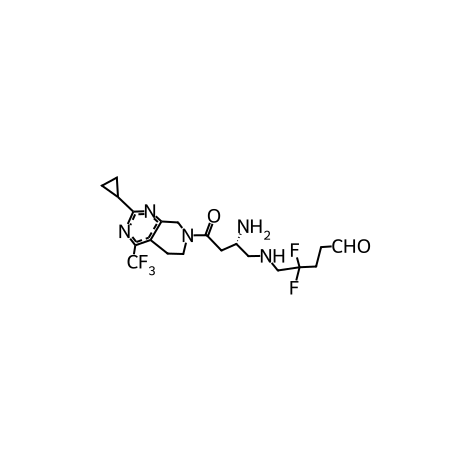 N[C@H](CNCC(F)(F)CCC=O)CC(=O)N1CCc2c(nc(C3CC3)nc2C(F)(F)F)C1